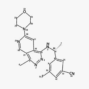 Cc1nnc(N[C@H](C)c2cc(F)cc(C#N)c2)c2cc(N3CCOCC3)ncc12